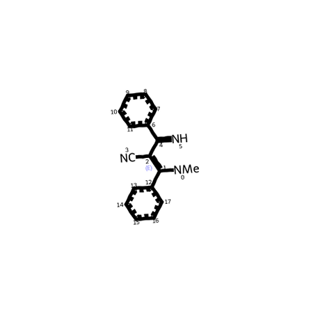 CN/C(=C(/C#N)C(=N)c1ccccc1)c1ccccc1